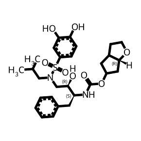 CC(C)CN(C[C@@H](O)[C@H](Cc1ccccc1)NC(=O)OC1CC2CCO[C@@H]2C1)S(=O)(=O)c1ccc(O)c(O)c1